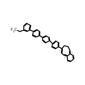 FC(F)(F)Cc1cccc(-c2ccc(-c3ccc(-c4ccc(/C5=C/C=c6/cccc/c6=C/CC5)cc4)cc3)cc2)c1